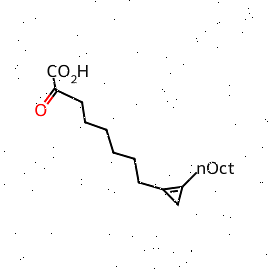 CCCCCCCCC1=C(CCCCCCC(=O)C(=O)O)C1